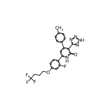 Cc1ccc(-c2cc(-c3ccc(OCCCC(F)(F)F)cc3F)[nH]c(=O)c2-c2nn[nH]n2)cc1